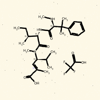 CC[C@H](C)[C@H](NC(=O)[C@@H](NC)C(C)(C)c1ccccc1)C(=O)N(C)[C@H](/C=C(\C)C(=O)O)C(C)C.O=C(O)C(F)(F)F